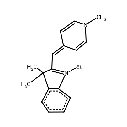 CC[N+]1=C(C=C2C=CN(C)C=C2)C(C)(C)c2ccccc21